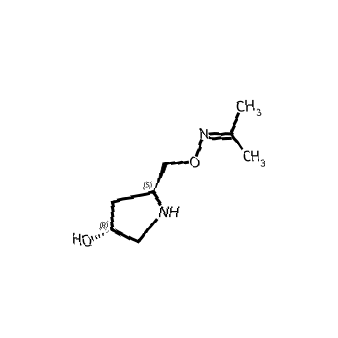 CC(C)=NOC[C@@H]1C[C@@H](O)CN1